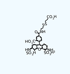 N=c1ccc2c(-c3ccc(C(=O)NCCSSCCC(=O)O)cc3C(=O)O)c3ccc(N)c(S(=O)(=O)O)c3oc-2c1S(=O)(=O)O